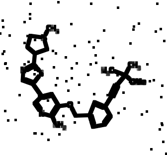 COC(C)(C)C#Cc1cccc(COc2cc(-c3cnc(C4CCN(C)C4)s3)cnc2N)c1